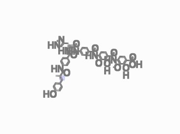 COc1c(NC(=O)c2ccc(NC(=O)c3ccc(NC(=O)[C@@H](Cc4c[nH]cn4)NC(=O)c4ccc(NC(=O)/C(C)=C/c5ccc(O)cc5)cc4)cc3)c(OC)c2O)ccc(C(=O)O)c1O